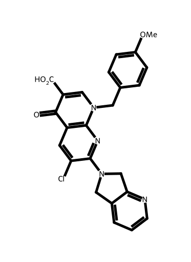 COc1ccc(Cn2cc(C(=O)O)c(=O)c3cc(Cl)c(N4Cc5cccnc5C4)nc32)cc1